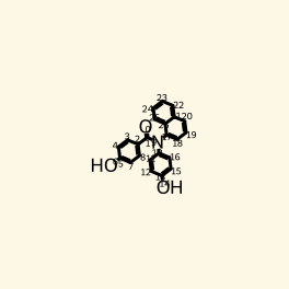 O=C(c1ccc(O)cc1)N(c1ccc(O)cc1)c1cccc2ccccc12